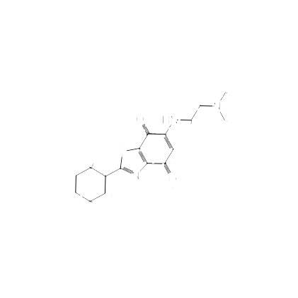 CN(C)CCNC1=CC(=O)c2nc(C3CCCCC3)sc2C1=O